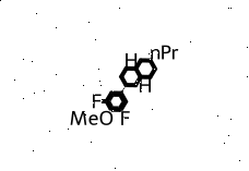 CCC[C@@H]1CC[C@@H]2C[C@H](c3cc(F)c(OC)c(F)c3)CC[C@@H]2C1